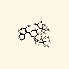 C[C@H]1CN(c2c(N)cnc3c2CCO3)C[C@@H](N(C(=O)O)C(C)(C)C)[C@@H]1O[Si](C)(C)C(C)(C)C